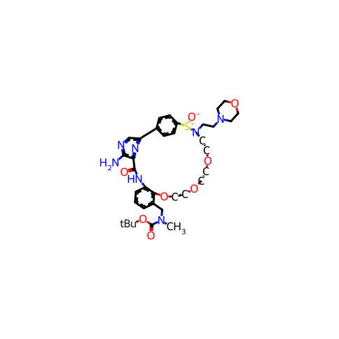 CN(Cc1cccc2c1OCCOCCOCCN(CCN1CCOCC1)[S+]([O-])c1ccc(cc1)-c1cnc(N)c(n1)C(=O)N2)C(=O)OC(C)(C)C